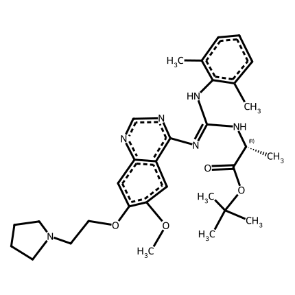 COc1cc2c(N=C(Nc3c(C)cccc3C)N[C@H](C)C(=O)OC(C)(C)C)ncnc2cc1OCCN1CCCC1